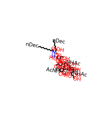 CCCCCCCCCCCCC/C=C/[C@@H](O)[C@H](CO[C@@H]1OC(CO)[C@@H](O[C@@H]2OC(CO)[C@H](O[C@@H]3OC(CO)[C@H](O)[C@H](O)C3NC(C)=O)[C@H](O[C@]3(C(=O)O)CC(O)[C@@H](NC(C)=O)C([C@H](O)[C@@H](CO)O[C@]4(C(=O)O)CC(O)[C@@H](NC(C)=O)C([C@H](O)[C@H](O)CO)O4)O3)C2O)[C@H](O)C1O)NC(=O)CCCCCCCCCCCCCCCCCCC